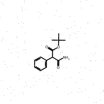 CC(C)(C)OC(=O)C(C(N)=O)c1ccccc1